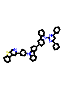 c1ccc(-c2cc(-c3ccccc3)nc(-n3c4ccccc4c4cc(-c5ccc6c(c5)c5ccccc5n6-c5ccc(-c6cc7c(cn6)sc6ccccc67)cc5)ccc43)n2)cc1